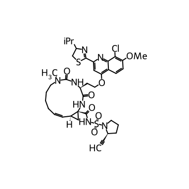 C#C[C@@H]1CCCN1S(=O)(=O)NC(=O)[C@@]12C[C@H]1/C=C\CCCCN(C)C(=O)N[C@@H](CCOc1cc(C3=NC(C(C)C)CS3)nc3c(Cl)c(OC)ccc13)C(=O)N2